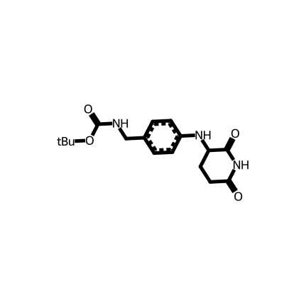 CC(C)(C)OC(=O)NCc1ccc(NC2CCC(=O)NC2=O)cc1